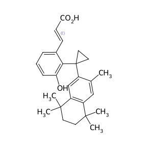 Cc1cc2c(cc1C1(c3c(O)cccc3/C=C/C(=O)O)CC1)C(C)(C)CCC2(C)C